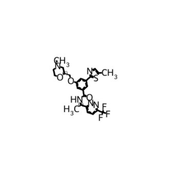 Cc1cnc(-c2cc(OC[C@@H]3CN(C)CCO3)cc(C(=O)N[C@H](C)c3ccc(C(F)(F)F)nn3)c2)s1